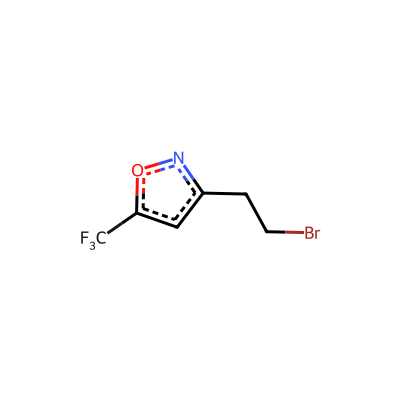 FC(F)(F)c1cc(CCBr)no1